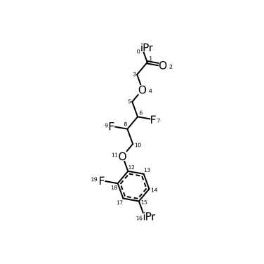 CC(C)C(=O)COCC(F)C(F)COc1ccc(C(C)C)cc1F